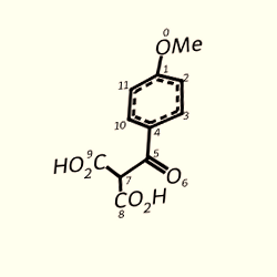 COc1ccc(C(=O)C(C(=O)O)C(=O)O)cc1